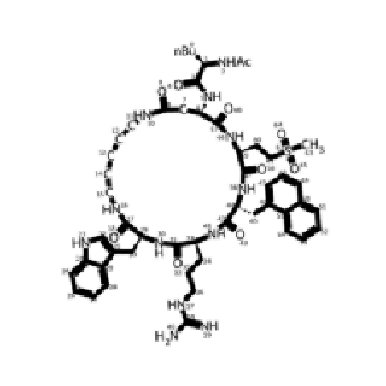 CCCC[C@@H](NC(C)=O)C(=O)N[C@H]1CC(=O)NCCCCCNC(=O)[C@H](Cc2c[nH]c3ccccc23)NC(=O)[C@H](CCCNC(=N)N)NC(=O)[C@@H](Cc2cccc3ccccc23)NC(=O)[C@H](CCS(C)(=O)=O)NC1=O